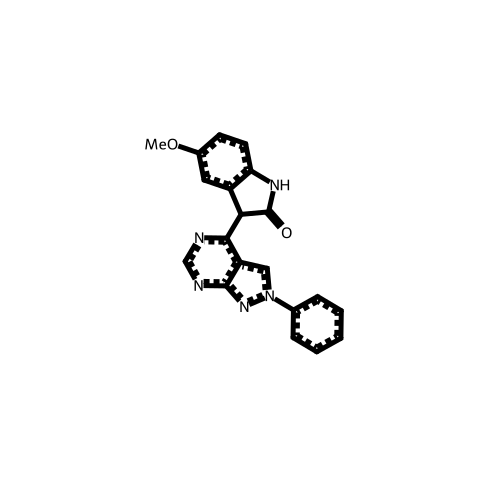 COc1ccc2c(c1)C(c1ncnc3nn(-c4ccccc4)cc13)C(=O)N2